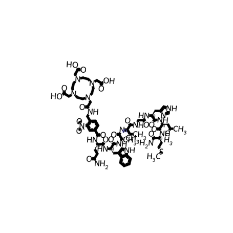 CSCC[C@H](NC(=O)[C@H](CC(C)C)NC(=O)[C@H](Cc1c[nH]cn1)NC(=O)CNC(=O)/C(=N/C(=O)[C@H](C)NC(=O)[C@H](Cc1c[nH]c2ccccc12)NC(=O)[C@H](CCC(N)=O)NC(=O)c1ccc(CNC(=O)CN2CCN(CC(=O)O)CCN(CC(=O)O)CCN(CC(=O)O)CC2)c([N+](=O)[O-])c1)C(C)C)C(N)=O